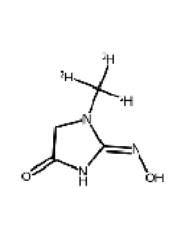 [2H]C([2H])([2H])N1CC(=O)N/C1=N\O